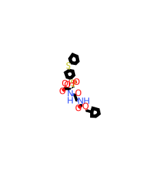 O=C(CNC(=O)OCc1ccccc1)N[C@@H](CS(=O)(=O)c1ccc(Sc2ccccc2)cc1)C(=O)O